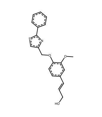 COc1cc(C=CCO)ccc1OCc1csc(-c2ccccc2)n1